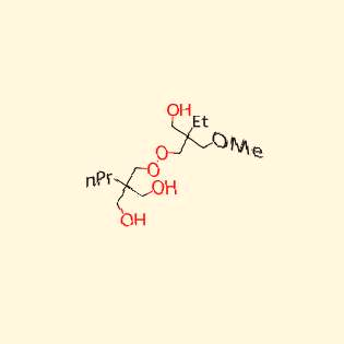 CCCC(CO)(CO)COOCC(CC)(CO)COC